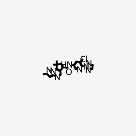 Cc1cc2ncc3c(n2n1)C(C)(C)C[C@H]3C(=O)Nc1cnc(-n2nccn2)c(Cl)c1